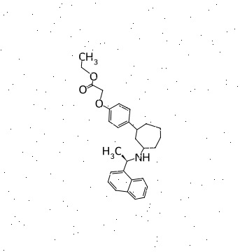 CCOC(=O)COc1ccc(C2CCCCC(N[C@H](C)c3cccc4ccccc34)C2)cc1